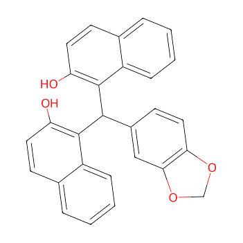 Oc1ccc2ccccc2c1C(c1ccc2c(c1)OCO2)c1c(O)ccc2ccccc12